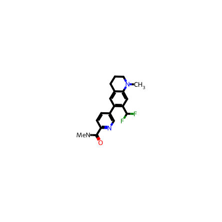 CNC(=O)c1ccc(-c2cc3c(cc2C(F)F)N(C)CCC3)cn1